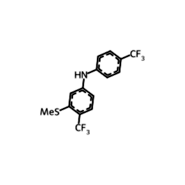 CSc1cc(Nc2ccc(C(F)(F)F)cc2)ccc1C(F)(F)F